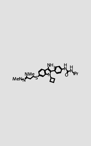 CN/N=C(/CCSc1ccc2c(N)c(-c3ccc(NC(=O)NC(C)C)cc3)n(C3CCC3)c2c1)NC